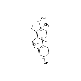 C[C@]12CC[C@H]3C(=C1CC[C@@H]2O)C=CC1=C[C@@H](O)CC[C@@]13CO